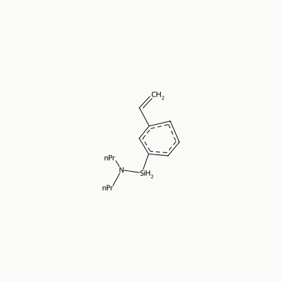 C=Cc1cccc([SiH2]N(CCC)CCC)c1